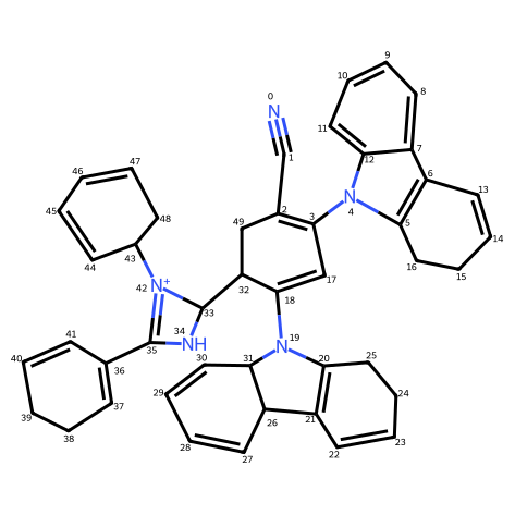 N#CC1=C(n2c3c(c4ccccc42)C=CCC3)C=C(N2C3=C(C=CCC3)C3C=CC=CC32)C(C2NC(C3=CCCC=C3)=[N+]2C2C=CC=CC2)C1